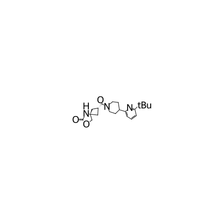 CC(C)(C)c1cccc(C2CCN(C(=O)[C@H]3C[C@]4(COC(=O)N4)C3)CC2)n1